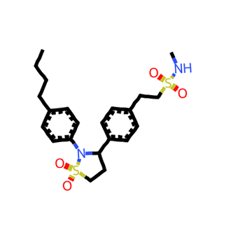 CCCCc1ccc(N2C(c3ccc(CCS(=O)(=O)NC)cc3)CCS2(=O)=O)cc1